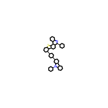 c1ccc(-c2nc3ccccc3c3c2ccc2c3sc3cccc(-c4ccc(-c5ccc6c7ccccc7n(-c7ccccc7)c6c5)cc4)c32)cc1